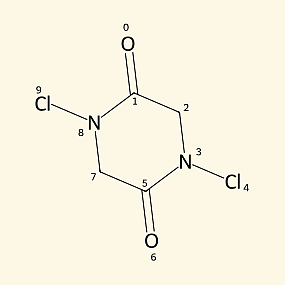 O=C1CN(Cl)C(=O)CN1Cl